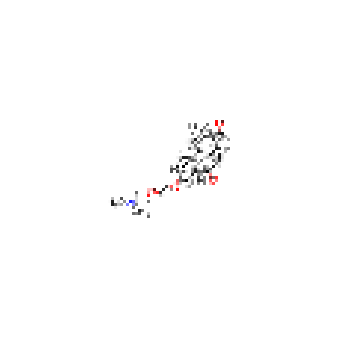 CN(C)CCOCCO[C@H]1CC[C@@]2(C)[C@H](C1)C(=O)C[C@@H]1[C@@H]2CC[C@]2(C)C(=O)CC[C@@H]12